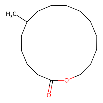 CC1CCCCCCCCCOC(=O)CCCC1